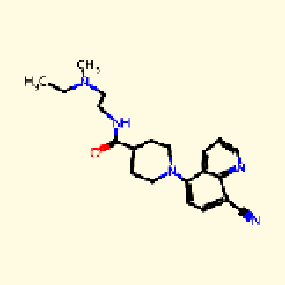 CCN(C)CCNC(=O)C1CCN(c2ccc(C#N)c3ncccc23)CC1